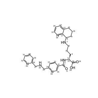 O=C(N[C@@H](CCCNC1CCCc2cccnc21)C(=O)O)c1ccc(CNCc2ccccn2)nc1